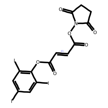 O=C(/C=C/C(=O)ON1C(=O)CCC1=O)Oc1c(I)cc(I)cc1I